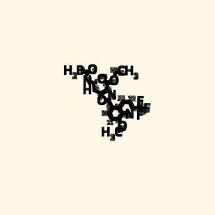 BC(=O)NCCc1oc(-c2ccc(OC)c3nc(C(F)(F)F)ccc23)nc1C(=O)OCC